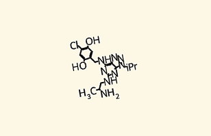 CC(N)CNc1nc(NCc2cc(O)c(Cl)cc2O)c2nnn(C(C)C)c2n1